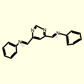 C(=N\c1ccccc1)/c1cc(/C=N/c2ccccc2)ncn1